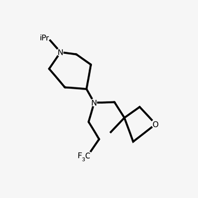 CC(C)N1CCC(N(CCC(F)(F)F)CC2(C)COC2)CC1